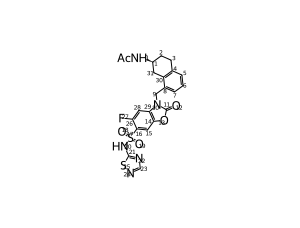 [CH2]C(=O)N[C@H]1CCc2cccc(Cn3c(=O)oc4cc(S(=O)(=O)Nc5ncns5)c(F)cc43)c2C1